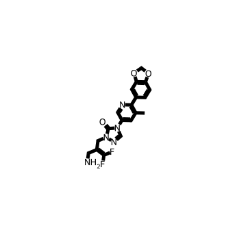 Cc1cc(-n2cnn(CC(CN)=C(F)F)c2=O)cnc1-c1ccc2c(c1)OCO2